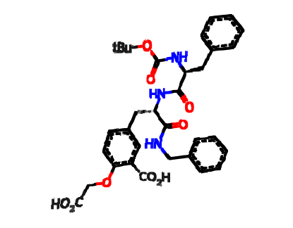 CC(C)(C)OC(=O)N[C@@H](Cc1ccccc1)C(=O)N[C@@H](Cc1ccc(OCC(=O)O)c(C(=O)O)c1)C(=O)NCc1ccccc1